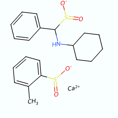 Cc1ccccc1S(=O)[O-].O=S([O-])C(NC1CCCCC1)c1ccccc1.[Ca+2]